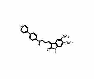 COc1cc2c(cc1OC)C(=CCCNc1ccc(-c3ccncc3)cc1)C(=O)N2